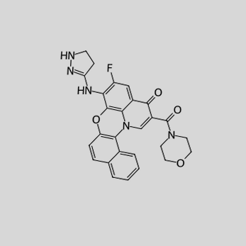 O=C(c1cn2c3c(c(NC4=NNCC4)c(F)cc3c1=O)Oc1ccc3ccccc3c1-2)N1CCOCC1